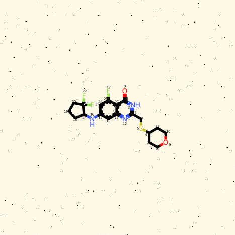 O=c1[nH]c(CSC2CCOCC2)nc2cc(NC3CCCC3(F)F)cc(F)c12